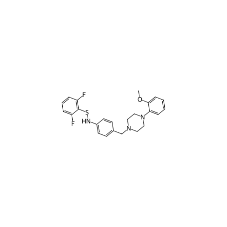 COc1ccccc1N1CCN(Cc2ccc(NSc3c(F)cccc3F)cc2)CC1